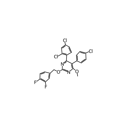 COc1nc(OCc2ccc(F)c(F)c2)nc(-c2ccc(Cl)cc2Cl)c1-c1ccc(Cl)cc1